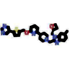 Cc1ccc2nc(CN3CCC(c4cccc(OCc5ccc(-c6cncnc6)s5)n4)CC3)n(C[C@@H]3CCO3)c2c1